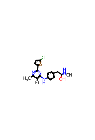 CCc1c(C)nc(-c2ccc(Cl)s2)nc1Nc1ccc(CC(O)NC#N)cc1